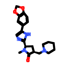 CN1C(=O)[C@H](CN2CCCCC2)C[C@@H]1c1ncc(-c2ccc3c(c2)OCO3)[nH]1